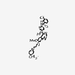 [CH2]C1CCN(CCCOc2cc3ncnc(Nc4ccc(NC(=O)c5cccc(Cl)c5)nc4)c3cc2OC)CC1